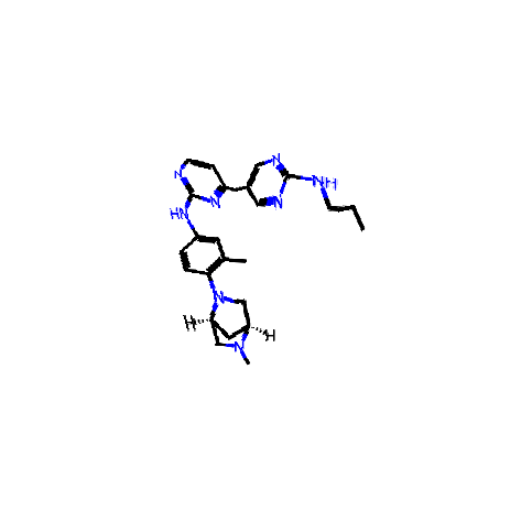 CCCNc1ncc(-c2ccnc(Nc3ccc(N4C[C@@H]5C[C@H]4CN5C)c(C)c3)n2)cn1